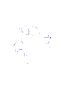 Cc1nnc(-c2ccc3[nH]nc(-c4ccnc(N5CCOCC5)c4)c3c2)o1